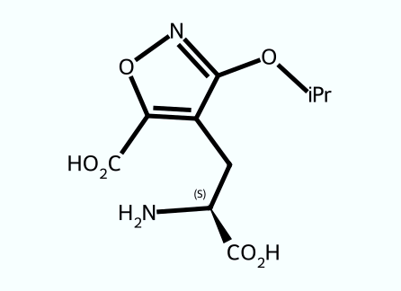 CC(C)Oc1noc(C(=O)O)c1C[C@H](N)C(=O)O